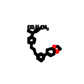 CC#CC(CC(=O)O)c1ccc(CCCc2cccc(C3=CCC4(CC3)OCCO4)c2)cc1